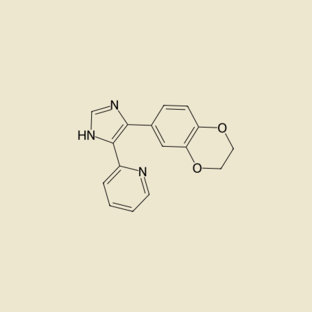 c1ccc(-c2[nH]cnc2-c2ccc3c(c2)OCCO3)nc1